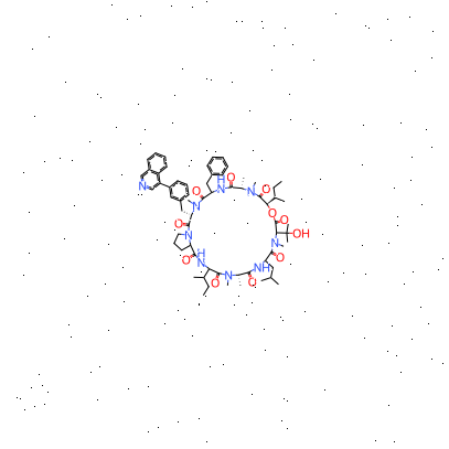 CCC(C)C1NC(=O)C2CCCN2C(=O)[C@H](Cc2cccc(-c3cncc4ccccc34)c2)N(C)C(=O)C(Cc2ccccc2)NC(=O)[C@H](C)N(C)C(=O)[C@@H](C(C)CC)OC(=O)C(C(C)(C)O)N(C)C(=O)C(CC(C)C)NC(=O)[C@H](C)N(C)C1=O